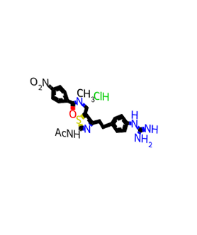 CC(=O)Nc1nc(CCc2ccc(NC(=N)N)cc2)c(CN(C)C(=O)c2ccc([N+](=O)[O-])cc2)s1.Cl